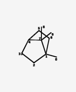 CC12C[CH]C(CC1)C2(C)C